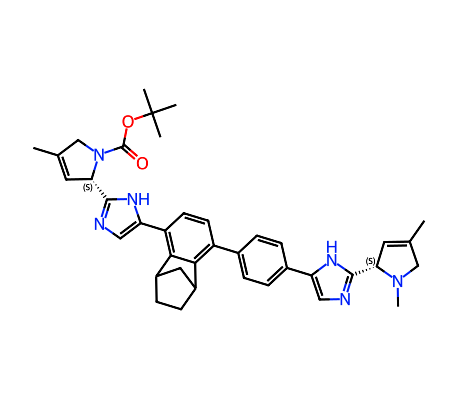 CC1=C[C@@H](c2ncc(-c3ccc(-c4ccc(-c5cnc([C@@H]6C=C(C)CN6C(=O)OC(C)(C)C)[nH]5)c5c4C4CCC5C4)cc3)[nH]2)N(C)C1